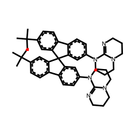 CC(C)(C)c1ccc2c(c1)C1(c3cc(N4CCCN5CCCN=C54)ccc3-2)c2cc(N3CCCN4CCCN=C43)ccc2-c2ccc(C(C)(C)C)cc21